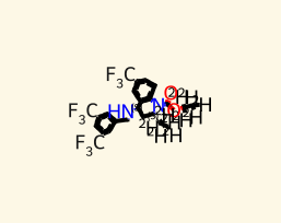 [2H]C([2H])([2H])C([2H])([2H])OC(=O)N1c2ccc(C(F)(F)F)cc2[C@@H](NCc2cc(C(F)(F)F)cc(C(F)(F)F)c2)C[C@H]1C([2H])([2H])C([2H])([2H])[2H]